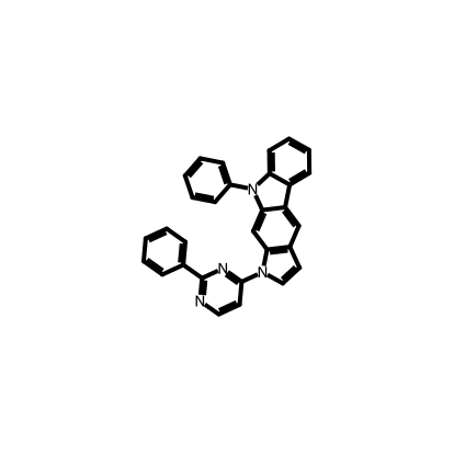 c1ccc(-c2nccc(-n3ccc4cc5c6ccccc6n(-c6ccccc6)c5cc43)n2)cc1